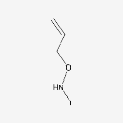 C=CCONI